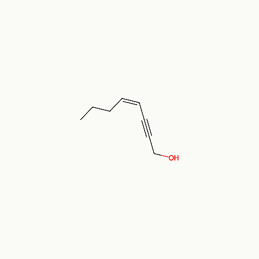 CCC/C=C\C#CCO